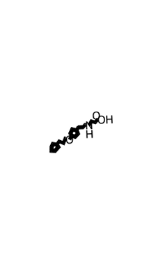 O=C(O)CCNC/C=C/c1ccc(OCCCc2ccccc2)cc1